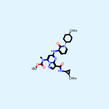 CO[C@@H]1CC1NC(=O)c1cnn2c(N(C)C(=O)OC(C)(C)C)cc(Nc3cccn([C@H]4CC[C@H](OC)CC4)c3=O)nc12